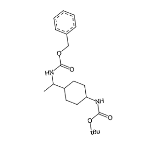 CC(NC(=O)OCc1ccccc1)C1CCC(NC(=O)OC(C)(C)C)CC1